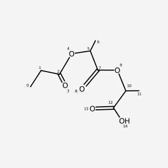 CCC(=O)OC(C)C(=O)OC(C)C(=O)O